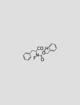 O=C(O)C(Cc1ccccc1)N(F)C(=O)OCc1ccccc1